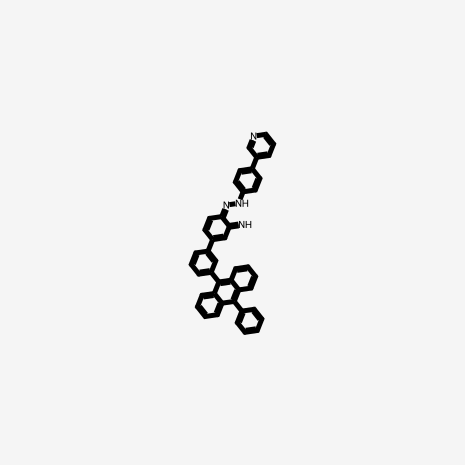 N=C1C=C(c2cccc(-c3c4ccccc4c(-c4ccccc4)c4ccccc34)c2)C=C/C1=N/Nc1ccc(-c2cccnc2)cc1